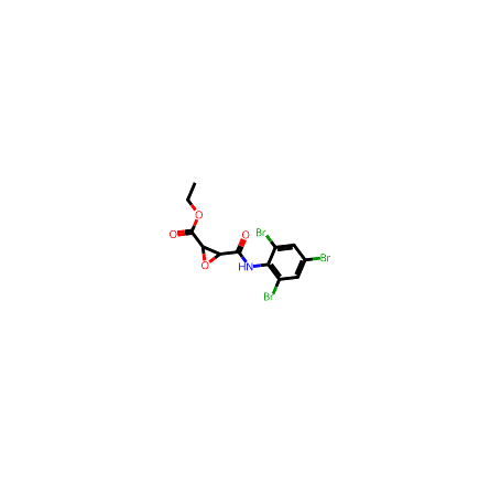 CCOC(=O)C1OC1C(=O)Nc1c(Br)cc(Br)cc1Br